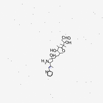 C/C(=C\c1ccccn1)C(N)CC(C)(O)CCCC(C)C(O)C(C)C(=O)C(C)(C)C(O)CC=O